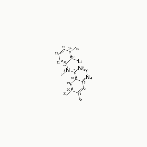 Cc1cc2ncnc(N(C)c3cccc(C)c3I)c2cc1C